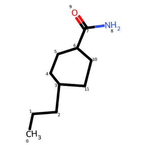 CCCC1CCC(C(N)=O)CC1